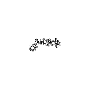 O=C(NCc1ccc(S(=O)(=O)c2ccc(C(F)(F)F)c(F)c2)cc1)c1cc2ccncc2s1